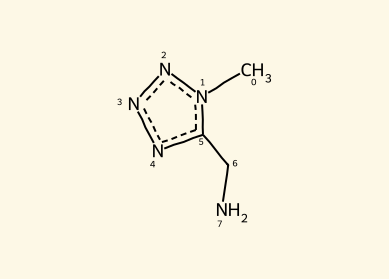 Cn1nnnc1CN